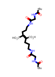 CC(C)(C)C(=O)NCC(=O)NCCC/C(C(=O)O)=C(/CCCNC(=O)CNC(=O)C(C)(C)C)C(=O)O